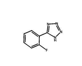 Fc1ccccc1-c1nnn[nH]1